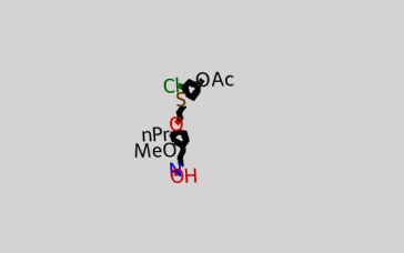 CCCc1c(OCCCSc2ccc(OC(C)=O)cc2Cl)ccc(CCC=NO)c1OC